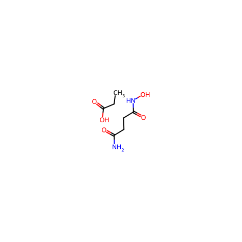 CCC(=O)O.NC(=O)CCC(=O)NO